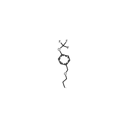 [CH2]CCOCc1ccc(OC(F)(F)F)cc1